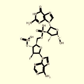 Nc1nc2c(ncn2[C@@H]2O[C@H](CO)[C@H](F)[C@H]2P(=O)(S)OC[C@H]2O[C@@H](n3cnc4c(N)ncnc43)[C@@H](F)[C@@H]2O[PH](=O)S)c(=O)[nH]1